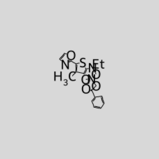 CCn1on(OC(=O)c2ccccc2)oc2c(C)c(-c3ncco3)sc21